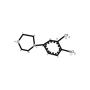 O=[N+]([O-])c1ccc(N2CCOCC2)cc1C(F)(F)F